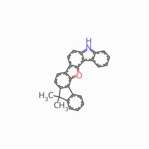 CC1(C)c2ccccc2-c2c1ccc1c2oc2c1ccc1[nH]c3ccccc3c12